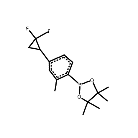 Cc1cc(C2CC2(F)F)ccc1B1OC(C)(C)C(C)(C)O1